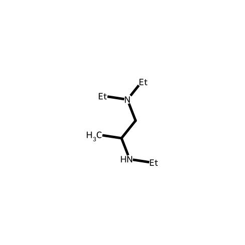 CCNC(C)CN(CC)CC